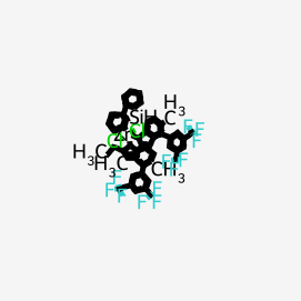 CCCC1=Cc2c(ccc(C)c2-c2cc(C(F)(F)F)cc(C(F)(F)F)c2)[CH]1[Zr]([Cl])([Cl])([c]1cccc2c1[SiH2]c1ccccc1-2)[CH]1C(CCC)=Cc2c1ccc(C)c2-c1cc(C(F)(F)F)cc(C(F)(F)F)c1